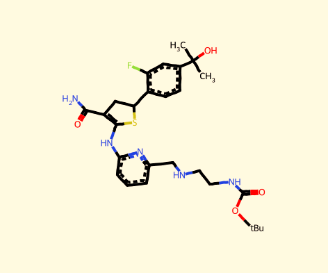 CC(C)(C)OC(=O)NCCNCc1cccc(NC2=C(C(N)=O)CC(c3ccc(C(C)(C)O)cc3F)S2)n1